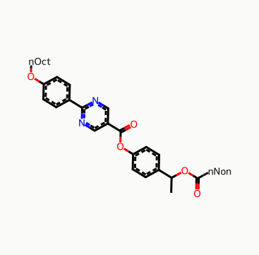 CCCCCCCCCC(=O)OC(C)c1ccc(OC(=O)c2cnc(-c3ccc(OCCCCCCCC)cc3)nc2)cc1